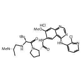 CN[C@@H](C)CN[C@H](C(=O)N1CCC[C@H]1C(=O)Nc1cc2c(Nc3cccnc3Cl)ncnc2cc1OC)C(C)(C)C.Cl